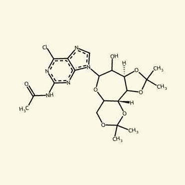 CC(=O)Nc1nc(Cl)c2ncn(C3OC4COC(C)(C)O[C@H]4C4OC(C)(C)O[C@@H]4C3O)c2n1